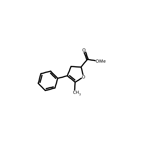 COC(=O)C1CC(c2ccccc2)=C(C)O1